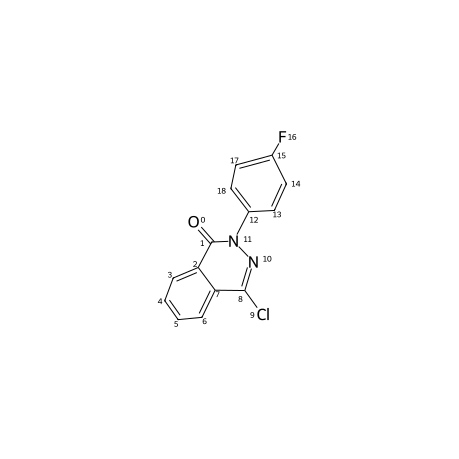 O=c1c2ccccc2c(Cl)nn1-c1ccc(F)cc1